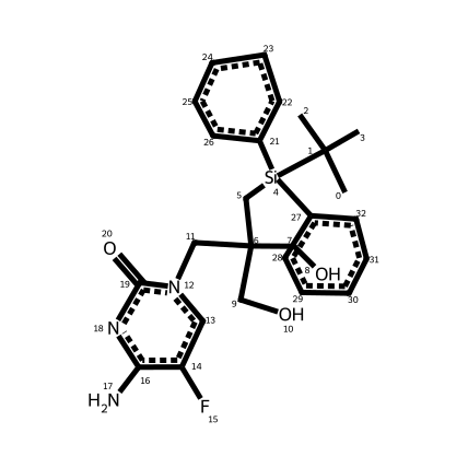 CC(C)(C)[Si](CC(CO)(CO)Cn1cc(F)c(N)nc1=O)(c1ccccc1)c1ccccc1